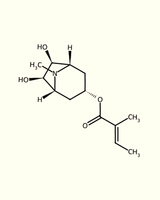 C/C=C(\C)C(=O)O[C@@H]1C[C@@H]2[C@@H](O)[C@@H](O)[C@H](C1)N2C